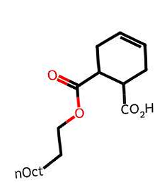 CCCCCCCCCCOC(=O)C1CC=CCC1C(=O)O